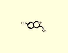 OCC1Cc2ccc(O)cc2CN1